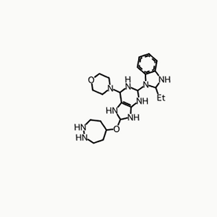 CCC1Nc2ccccc2N1C1NC2=C(NC(OC3CCNNCC3)N2)C(N2CCOCC2)N1